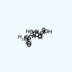 CC[C@@H](CC[C@@H]1[C@H]2Cc3cccc(OCC(=O)O)c3C[C@H]2C[C@H]1O)OC(=O)C1CCOCC1